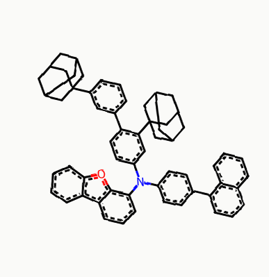 c1cc(-c2ccc(N(c3ccc(-c4cccc5ccccc45)cc3)c3cccc4c3oc3ccccc34)cc2C23CC4CC(CC(C4)C2)C3)cc(C23CC4CC(CC(C4)C2)C3)c1